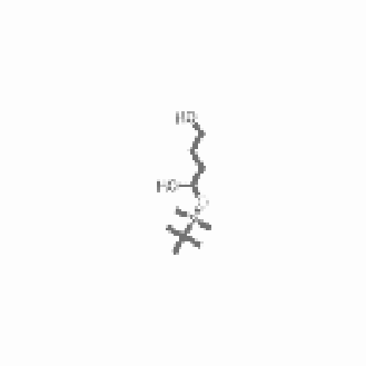 CC(C)(C)[Si](C)(C)O[C@@H](O)CCCO